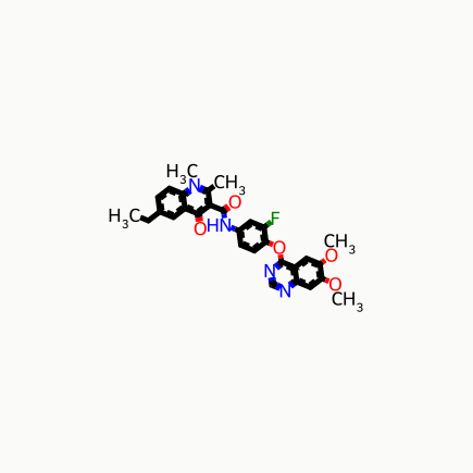 CCc1ccc2c(c1)c(=O)c(C(=O)Nc1ccc(Oc3ncnc4cc(OC)c(OC)cc34)c(F)c1)c(C)n2C